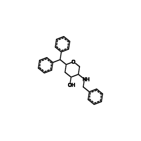 OC1CC(C(c2ccccc2)c2ccccc2)OCC1NCc1ccccc1